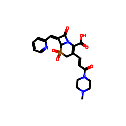 CN1CCN(C(=O)/C=C/C2=C(C(=O)O)N3C(=O)/C(=C/c4ccccn4)C3S(=O)(=O)C2)CC1